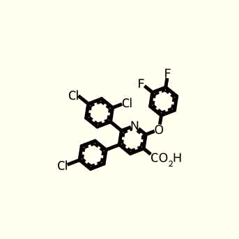 O=C(O)c1cc(-c2ccc(Cl)cc2)c(-c2ccc(Cl)cc2Cl)nc1Oc1ccc(F)c(F)c1